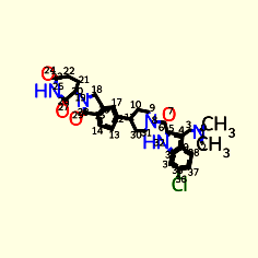 CN(C)Cc1c(C(=O)N2CCC(c3ccc4c(c3)CN(C3CCC(=O)NC3=O)C4=O)CC2)[nH]c2cc(Cl)ccc12